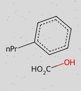 CCCc1ccccc1.O=C(O)O